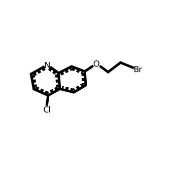 Clc1ccnc2cc(OCCBr)ccc12